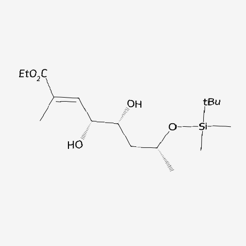 CCOC(=O)C(C)=C[C@@H](O)[C@H](O)C[C@@H](C)O[Si](C)(C)C(C)(C)C